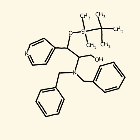 CC(C)(C)[Si](C)(C)OC(c1ccncc1)C(CO)N(Cc1ccccc1)Cc1ccccc1